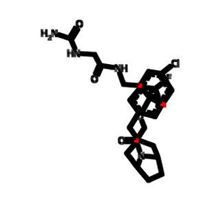 NC(=O)NCC(=O)NCc1cc(Cl)ccc1OCC(=O)N1C2CCC1CC(Cc1ccc(F)cc1)C2